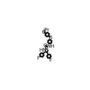 CC(C)Oc1ccc(Oc2ccc(NC(=O)N3CC(c4ccc(F)cc4)=C(c4ccc(F)cc4)N3)cc2)cc1